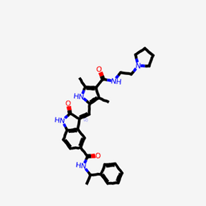 Cc1[nH]c(/C=C2\C(=O)Nc3ccc(C(=O)NC(C)c4ccccc4)cc32)c(C)c1C(=O)NCCN1CCCC1